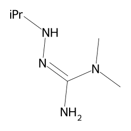 CC(C)NN=C(N)N(C)C